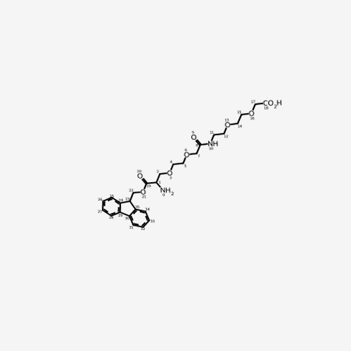 NC(COCCOCC(=O)NCCOCCOCC(=O)O)C(=O)OCC1c2ccccc2-c2ccccc21